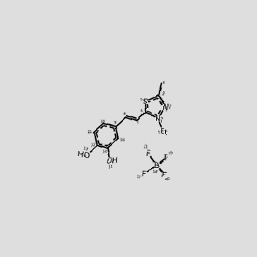 CC[n+]1nc(C)sc1/C=C/c1ccc(O)c(O)c1.F[B-](F)(F)F